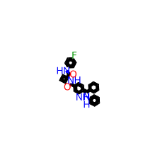 N=C1C=C(C(=O)NC2(C(=O)Nc3ccc(F)cc3)CCC2)C=C/C1=C(/Nc1ccccc1)C1CCCCC1